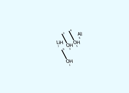 CO.CO.CO.[Al].[LiH]